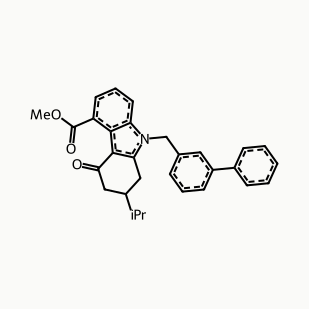 COC(=O)c1cccc2c1c1c(n2Cc2cccc(-c3ccccc3)c2)CC(C(C)C)CC1=O